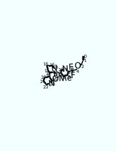 C#CCOCC(F)(F)c1ccc(Oc2ncccc2-c2cccnc2OC)cn1